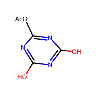 CC(=O)Oc1nc(O)nc(O)n1